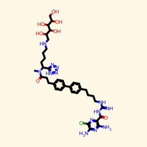 CN(C(=O)CCc1ccc(-c2ccc(CCCCNC(=N)NC(=O)c3nc(Cl)c(N)nc3N)cc2)cc1)C(CCCCNCC(O)C(O)C(O)C(O)CO)c1nnn[nH]1